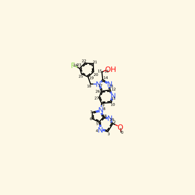 COc1cnc2ccn(-c3cnc4nc(CO)n(Cc5cccc(F)c5)c4c3)c2n1